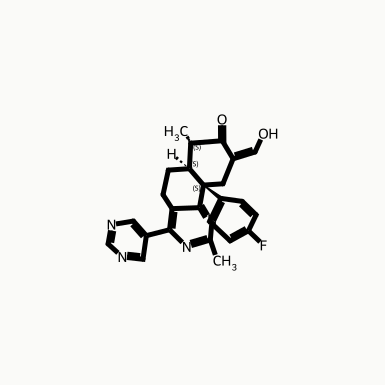 Cc1nc(-c2cncnc2)c2c(n1)[C@@]1(c3ccc(F)cc3)CC(=CO)C(=O)[C@@H](C)[C@@H]1CC2